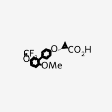 COc1ccc(OC(F)(F)F)cc1-c1ccc(OC[C@@H]2C[C@H]2C(=O)O)cc1